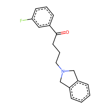 O=C(CCCN1Cc2ccccc2C1)c1cccc(F)c1